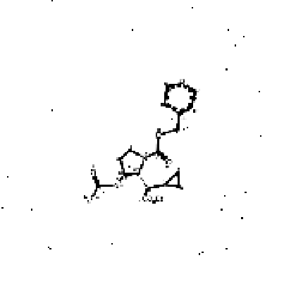 CCOC(=O)C(C1CC1)[C@@H]1[C@@H](NC(=O)C(F)(F)F)CCN1C(=O)OCc1ccccc1